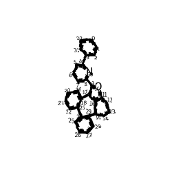 c1ccc(-c2cccc(-c3oc4cccc5c4c3-c3ccccc3-c3ccccc3-5)n2)cc1